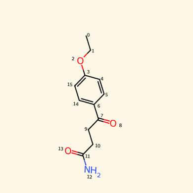 CCOc1ccc(C(=O)CCC(N)=O)cc1